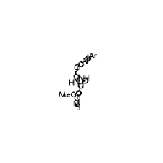 COc1cc(-c2ccc3c(c2)Nc2ccc(CCOc4ccc(N5CCN(C(C)=O)CC5)cc4)cc2NC3=O)ccc1OCc1cscn1